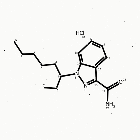 CCCCCC(CC)n1nc(C(N)=O)c2ccccc21.Cl